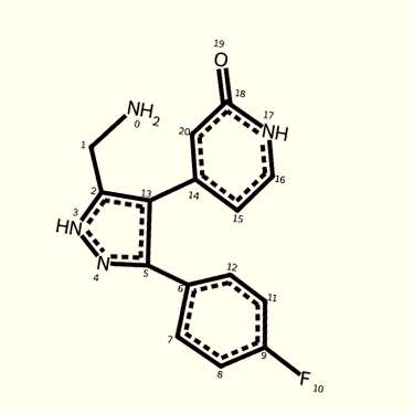 NCc1[nH]nc(-c2ccc(F)cc2)c1-c1cc[nH]c(=O)c1